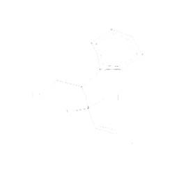 C=CC(C)(C)C(CC)c1ccccc1